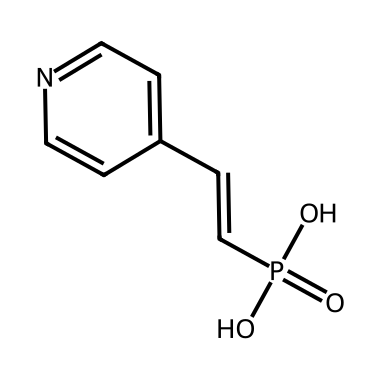 O=P(O)(O)C=Cc1ccncc1